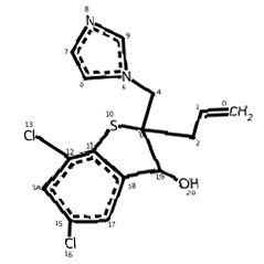 C=CCC1(Cn2ccnc2)Sc2c(Cl)cc(Cl)cc2C1O